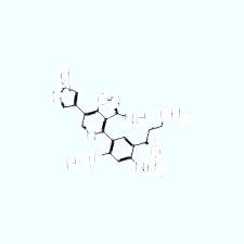 CCCC(=O)c1cc(-c2ncc(-c3cn[nH]c3)c3onc(N)c23)c(F)cc1N.Cl